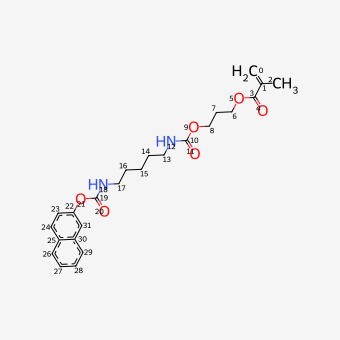 C=C(C)C(=O)OCCCOC(=O)NCCCCCNC(=O)Oc1ccc2ccccc2c1